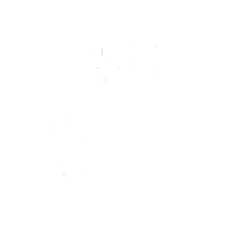 C[Si](C)(CSCc1cccc(Oc2ccccc2)c1)c1ccc(OC(F)F)cc1